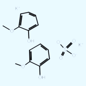 COc1ccccc1O.COc1ccccc1O.O=S(=O)([O-])[O-].[K+].[K+]